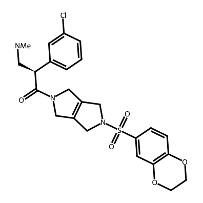 CNC[C@H](C(=O)N1CC2=C(C1)CN(S(=O)(=O)c1ccc3c(c1)OCCO3)C2)c1cccc(Cl)c1